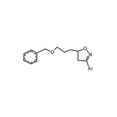 CC(=O)C1=NOC(CCCOCc2ccccc2)C1